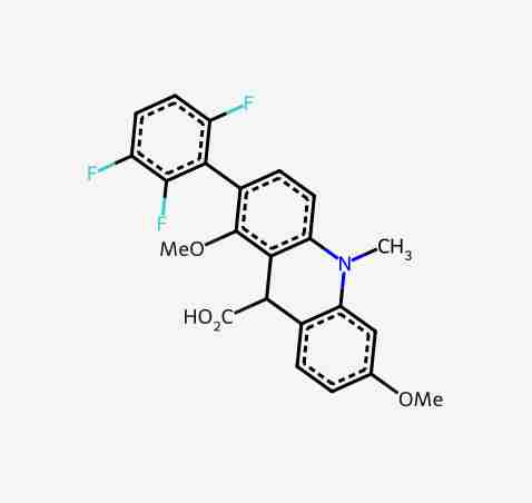 COc1ccc2c(c1)N(C)c1ccc(-c3c(F)ccc(F)c3F)c(OC)c1C2C(=O)O